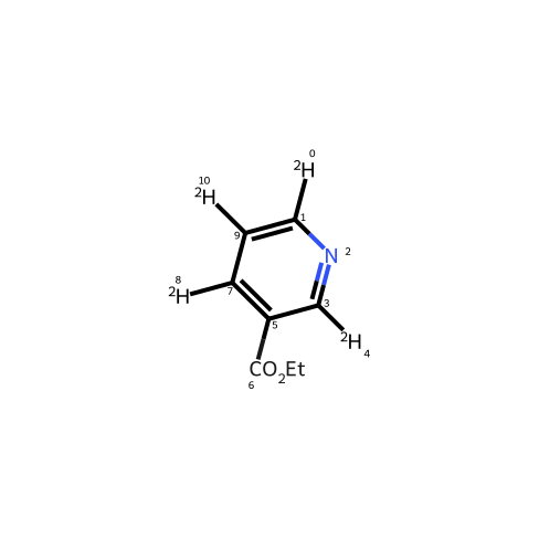 [2H]c1nc([2H])c(C(=O)OCC)c([2H])c1[2H]